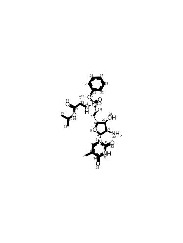 Cc1cn([C@@H]2O[C@H](CO[P@@](=O)(N[C@@H](C)C(=O)OC(C)C)Oc3ccccc3)[C@@H](O)[C@H]2N)c(=O)[nH]c1=O